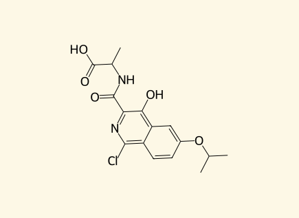 CC(C)Oc1ccc2c(Cl)nc(C(=O)NC(C)C(=O)O)c(O)c2c1